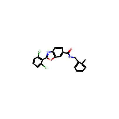 Cc1ccccc1CNC(=O)c1ccc2nc(-c3c(Cl)cccc3Cl)oc2c1